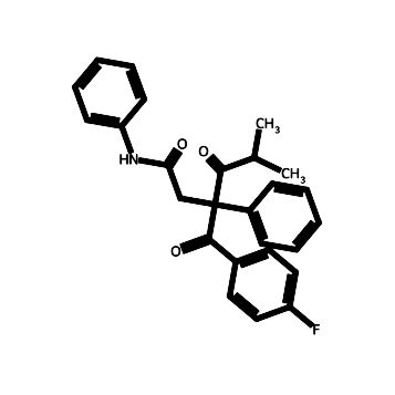 CC(C)C(=O)C(CC(=O)Nc1ccccc1)(C(=O)c1ccc(F)cc1)c1ccccc1